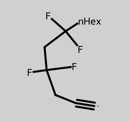 [C]#CCC(F)(F)CC(F)(F)CCCCCC